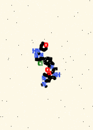 Cc1cc(C(C)NC(=O)C(C)N2Cc3ccc(-c4nc(NC5CCOCC5)ncc4Cl)cc3C2=O)cc(N(C)C)n1